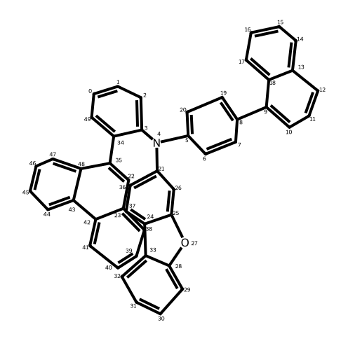 c1ccc(N(c2ccc(-c3cccc4ccccc34)cc2)c2ccc3c(c2)oc2ccccc23)c(-c2cc3ccccc3c3ccccc23)c1